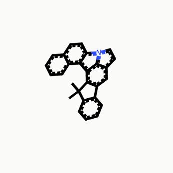 CC1(C)c2ccccc2-c2cc3ccn4c5ccc6ccccc6c5c(c21)c34